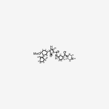 COc1ccc(-c2[nH]c(C)c(C(=O)Nc3cccc(C(=O)N4CCN(C)CC4)c3)[n+]2[O-])cc1-c1c(C)cccc1C